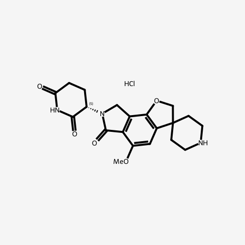 COc1cc2c(c3c1C(=O)N([C@H]1CCC(=O)NC1=O)C3)OCC21CCNCC1.Cl